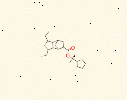 CCC1CC(CC)C2C3CC(CC3C(=O)OC(C)(C)C3CCCC3)C12